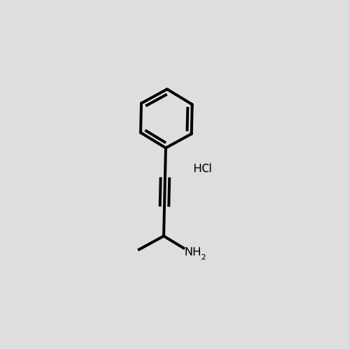 CC(N)C#Cc1ccccc1.Cl